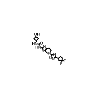 O=C(Nc1nc2c(s1)CN(c1nc(C3CCC(F)(F)C3)no1)CC2)NC1CC(O)C1